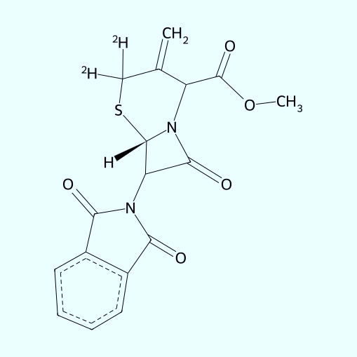 [2H]C1([2H])S[C@H]2C(N3C(=O)c4ccccc4C3=O)C(=O)N2C(C(=O)OC)C1=C